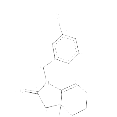 CC12CCCC=C1N(Cc1cccc(Cl)c1)C(=O)C2